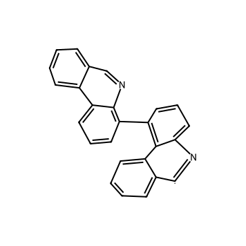 [c]1nc2cccc(-c3cccc4c3ncc3ccccc34)c2c2ccccc12